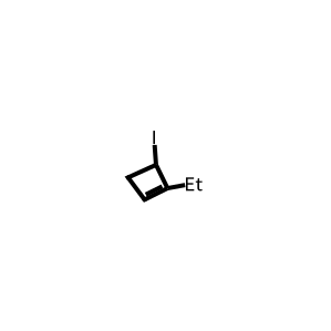 CCC1=CCC1I